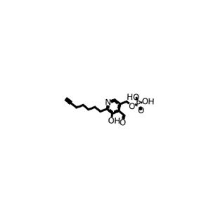 C#CCCCCCc1ncc(COP(=O)(O)O)c(C=O)c1O